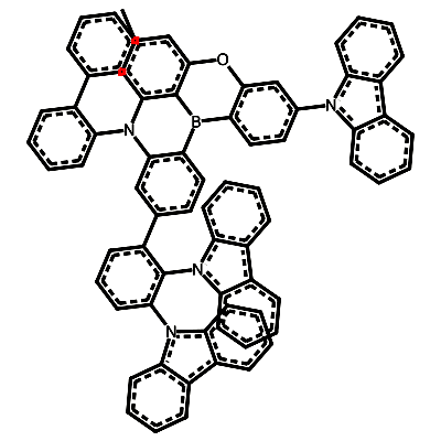 Cc1cc2c3c(c1)N(c1ccccc1-c1ccccc1)c1cc(-c4cccc(-n5c6ccccc6c6ccccc65)c4-n4c5ccccc5c5ccccc54)ccc1B3c1ccc(-n3c4ccccc4c4ccccc43)cc1O2